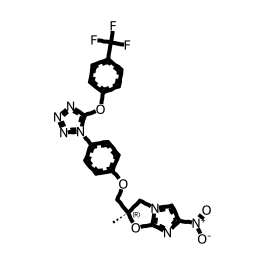 C[C@]1(COc2ccc(-n3nnnc3Oc3ccc(C(F)(F)F)cc3)cc2)Cn2cc([N+](=O)[O-])nc2O1